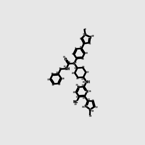 Cn1cc(-c2ccc(N(C(=O)NCc3ccccc3)C3CCC(Nc4ncc(C#N)c(-c5ccn(C)n5)n4)CC3)cc2)cn1